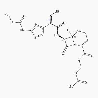 CC/C=C(\C(=O)N[C@@H]1C(=O)N2C(C(=O)OCOC(=O)C(C)(C)C)=CCS[C@H]12)c1csc(NC(=O)OC(C)(C)C)n1